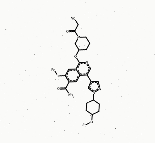 CCOC1CCC(n2cc(-c3cnc(OC4CCCN(C(=O)CC#N)C4)c4cc(OC(C)C)c(C(N)=O)cc34)cn2)CC1